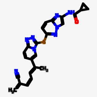 C=C(C#N)/C=C\C=C(/C)c1ccc2nnc(Sc3ccc4nc(NC(=O)C5CC5)cn4n3)n2c1